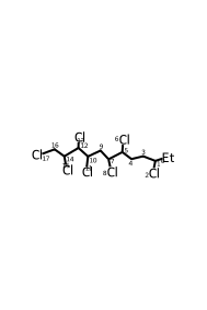 CCC(Cl)CCC(Cl)C(Cl)CC(Cl)C(Cl)C(Cl)CCl